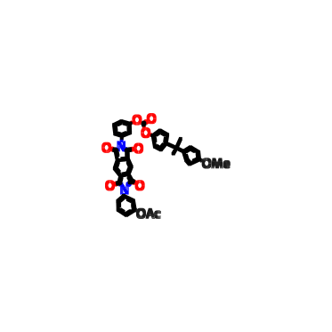 COc1ccc(C(C)(C)c2ccc(OC(=O)Oc3cccc(-n4c(=O)c5cc6c(=O)n(-c7cccc(OC(C)=O)c7)c(=O)c6cc5c4=O)c3)cc2)cc1